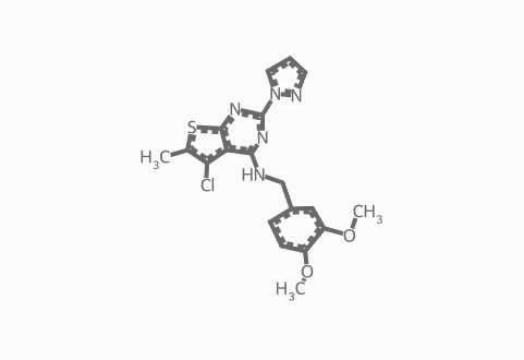 COc1ccc(CNc2nc(-n3cccn3)nc3sc(C)c(Cl)c23)cc1OC